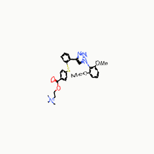 COc1cccc(OC)c1-n1cc(-c2ccccc2Sc2ccc(C(=O)OCC[N+](C)(C)C)cc2)nn1